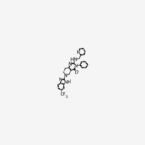 O=c1c2c(nc(NCc3ccccn3)n1-c1ccccc1)CCN(c1nc3ccc(C(F)(F)F)cc3[nH]1)C2